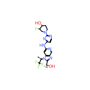 C[C@@H](O)c1nc2cnc(Nc3ccnc(N4CCC(O)C(F)C4)n3)cc2n1[C@H](C)C(F)(F)F